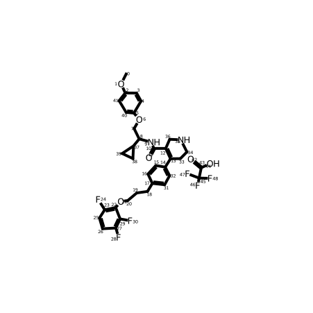 COc1ccc(OCC(NC(=O)C2=C(c3ccc(CCCOc4c(F)ccc(F)c4F)cc3)CCNC2)C2CC2)cc1.O=C(O)C(F)(F)F